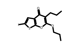 CCCOc1oc2sc(I)cc2c(=O)c1CCC